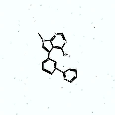 Cn1cc(-c2cccc(-c3ccccc3)c2)c2c(N)ncnc21